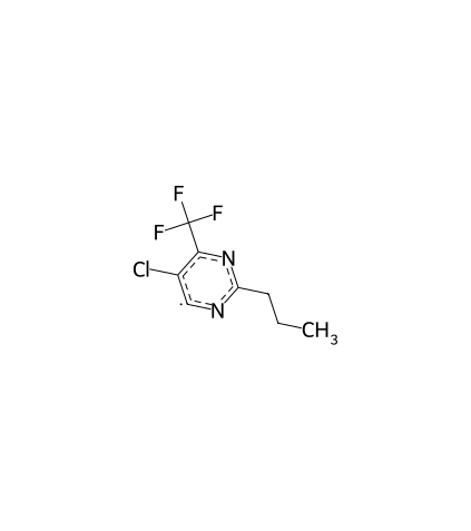 CCCc1n[c]c(Cl)c(C(F)(F)F)n1